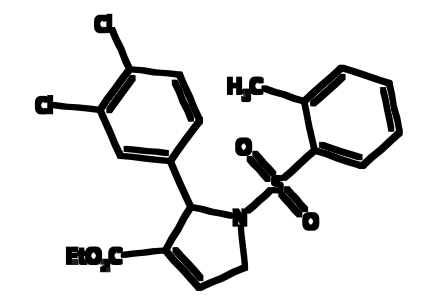 CCOC(=O)C1=CCN(S(=O)(=O)c2ccccc2C)C1c1ccc(Cl)c(Cl)c1